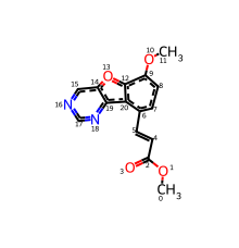 COC(=O)C=Cc1ccc(OC)c2oc3cncnc3c12